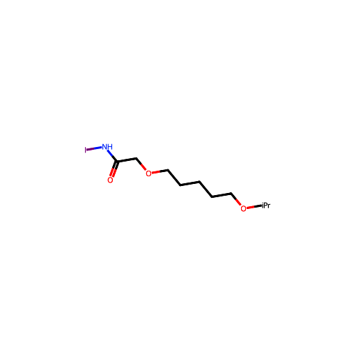 CC(C)OCCCCCOCC(=O)NI